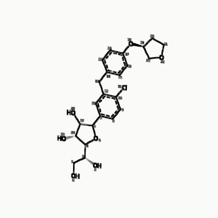 OC[C@@H](O)C1OC(c2ccc(Cl)c(Cc3ccc(O[C@H]4CCOC4)cc3)c2)C(O)[C@H]1O